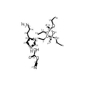 CCOP(=S)(OCC)OP(=S)(OCC)OCC.N#COC(=O)O.NCCc1c[nH]cn1